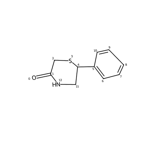 O=C1CSC(c2ccccc2)CN1